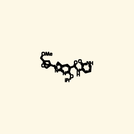 COCC12CC(n3cc4cc(C(=O)Nc5ccc[nH]c5=O)c(OC(C)C)nc4n3)(CO1)C2